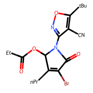 CCCC1=C(Br)C(=O)N(c2noc(C(C)(C)C)c2C#N)C1OC(=O)CC